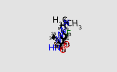 CN(C)C1CCN(c2nc3c(cc2F)c(=O)c2c(=O)[nH]sc2n3C2CC2)C1